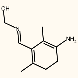 CC1=C(/C=N/CO)C(C)=C(N)CC1